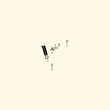 C=O.[Al+3].[I-].[I-].[I-]